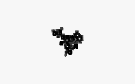 C=CC(=O)N1CCN(c2c(C#N)c(OC[C@@H]3C[C@H](OC)CN3C)nc3c2CCN(c2cccc4cccc(C)c24)C3)CC1CC#N